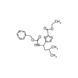 CCOC(=O)c1nc(C(CC(C)C)NC(=O)OCc2ccccc2)cs1